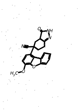 COc1ccc(C2(C#N)CCC3=NNC(=O)C3C2)c2c1oc1ccccc12